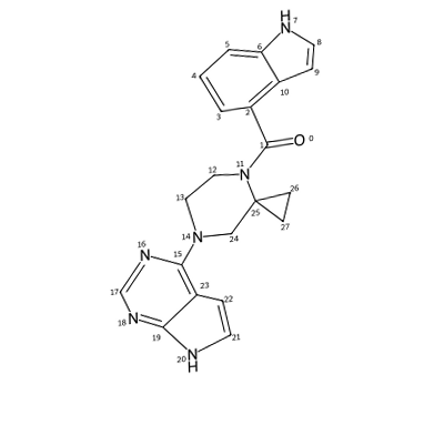 O=C(c1cccc2[nH]ccc12)N1CCN(c2ncnc3[nH]ccc23)CC12CC2